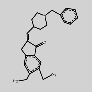 O=C1C(=CC2CCN(Cc3ccccc3)CC2)Cc2cc(CO)c(CO)cc21